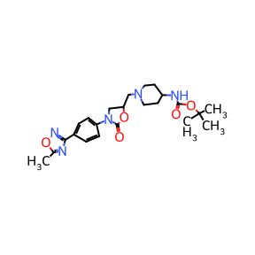 Cc1nc(-c2ccc(N3CC(CN4CCC(NC(=O)OC(C)(C)C)CC4)OC3=O)cc2)no1